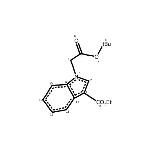 CCOC(=O)c1cn(CC(=O)OC(C)(C)C)c2ccccc12